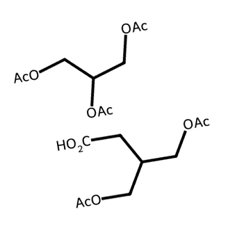 CC(=O)OCC(COC(C)=O)CC(=O)O.CC(=O)OCC(COC(C)=O)OC(C)=O